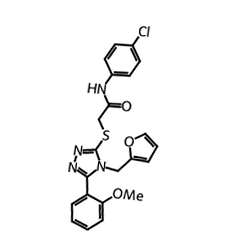 COc1ccccc1-c1nnc(SCC(=O)Nc2ccc(Cl)cc2)n1Cc1ccco1